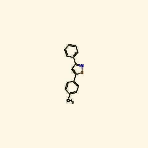 Cc1ccc(-c2cc(-c3ccccc3)ns2)cc1